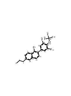 CCCc1ccc2c(F)c(-c3cc(F)c(OC(F)(F)F)c(F)c3)ccc2c1